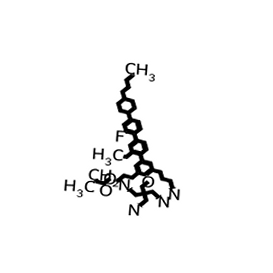 C=C(C)C(=O)OCCCc1cc(-c2ccc(-c3ccc(C4CCC(CCCCC)CC4)cc3F)cc2CC)cc(CCCC#N)c1OCC(CC#N)(CC#N)CC#N